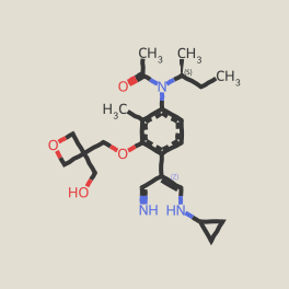 CC[C@H](C)N(C(C)=O)c1ccc(/C(C=N)=C/NC2CC2)c(OCC2(CO)COC2)c1C